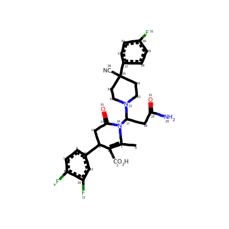 CC1=C(C(=O)O)C(c2ccc(F)c(F)c2)CC(=O)N1C(CC(N)=O)N1CCC(C#N)(c2ccc(F)cc2)CC1